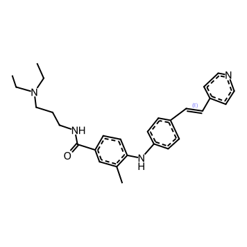 CCN(CC)CCCNC(=O)c1ccc(Nc2ccc(/C=C/c3ccncc3)cc2)c(C)c1